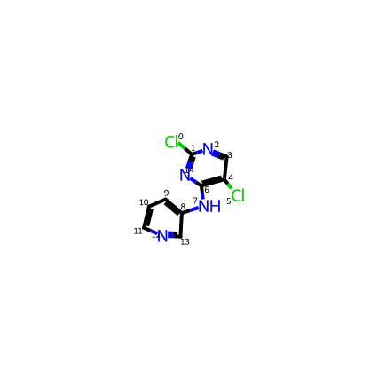 Clc1ncc(Cl)c(Nc2cccnc2)n1